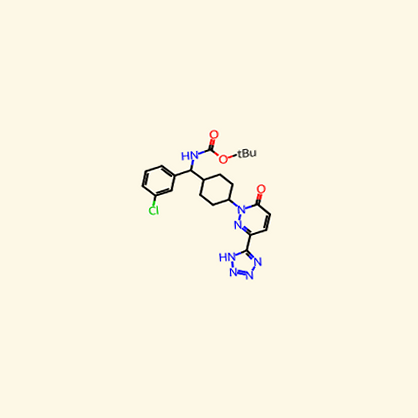 CC(C)(C)OC(=O)NC(c1cccc(Cl)c1)C1CCC(n2nc(-c3nnn[nH]3)ccc2=O)CC1